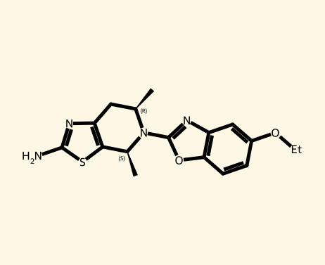 CCOc1ccc2oc(N3[C@H](C)Cc4nc(N)sc4[C@@H]3C)nc2c1